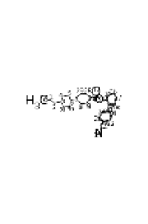 CCCC1CCC(C2CCC(C(=O)Oc3ccccc3-c3ccc(C#N)cc3)CC2)CC1